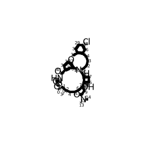 C[C@@H]1[C@@H](C)CCC[C@](O)(CC(=O)N(C)C)[C@@H]2CC[C@H]2CN2CCCCc3cc(Cl)ccc3COc3ccc(cc32)C(=O)NS1(=O)=O